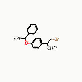 CCCC(Oc1ccc(C(C=O)CBr)cc1)c1ccccc1